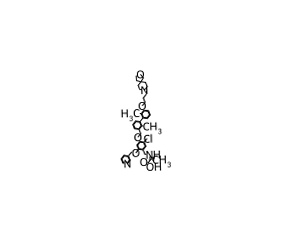 Cc1c(COc2cc(OCc3cccnc3)c(CN[C@H](C)C(=O)O)cc2Cl)cccc1-c1cccc(OCCCN2CCC3(CCOC3)CC2)c1C